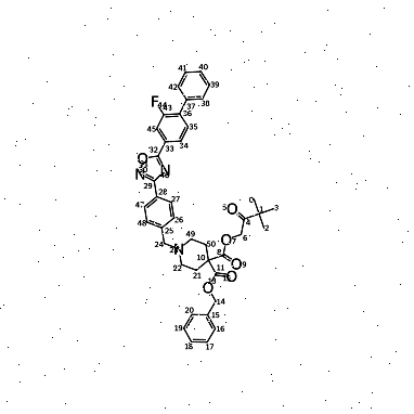 CC(C)(C)C(=O)COC(=O)C1(C(=O)OCc2ccccc2)CCN(Cc2ccc(-c3noc(-c4ccc(-c5ccccc5)c(F)c4)n3)cc2)CC1